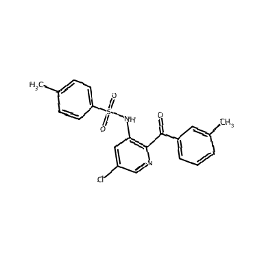 Cc1ccc(S(=O)(=O)Nc2cc(Cl)cnc2C(=O)c2cccc(C)c2)cc1